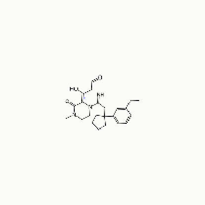 CCc1cccc(C2(CC(=N)N3CCN(C)C(=O)/C3=C(\O)CC=O)CCCC2)c1